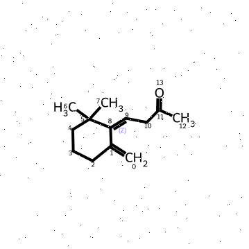 C=C1CCCC(C)(C)/C1=C/CC(C)=O